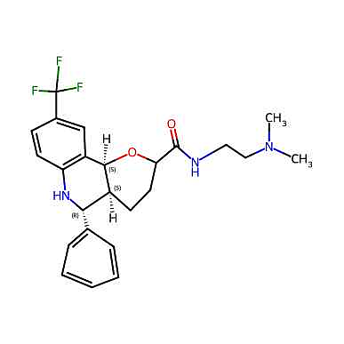 CN(C)CCNC(=O)C1CC[C@@H]2[C@H](O1)c1cc(C(F)(F)F)ccc1N[C@H]2c1ccccc1